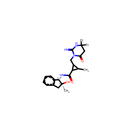 CCC1(CC)CC(=O)N(CC2C(C)C2C(=O)N[C@H]2c3ccccc3C[C@]2(C)O)C(=N)N1